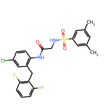 Cc1cc(C)cc(S(=O)(=O)NCC(=O)Nc2ccc(Cl)cc2Cc2c(F)cccc2F)c1